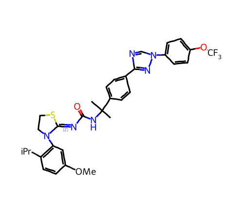 COc1ccc(C(C)C)c(N2CCS/C2=N\C(=O)NC(C)(C)c2ccc(-c3ncn(-c4ccc(OC(F)(F)F)cc4)n3)cc2)c1